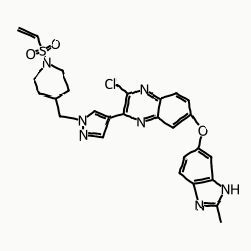 C=CS(=O)(=O)N1CCC(Cn2cc(-c3nc4cc(Oc5ccc6nc(C)[nH]c6c5)ccc4nc3Cl)cn2)CC1